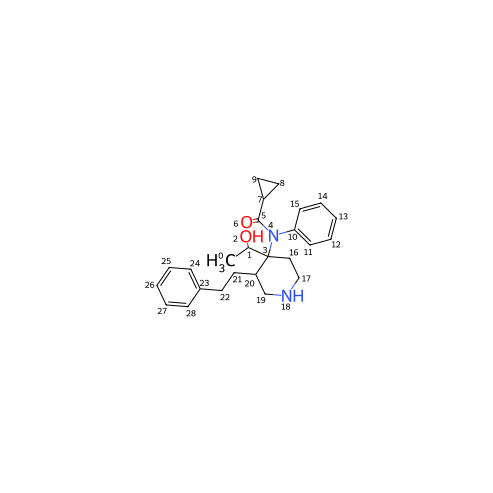 CC(O)C1(N(C(=O)C2CC2)c2ccccc2)CCNCC1CCc1ccccc1